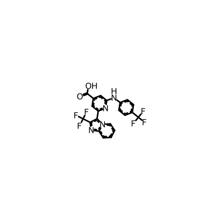 O=C(O)c1cc(Nc2ccc(C(F)(F)F)cc2)nc(-c2c(C(F)(F)F)nc3ccccn23)c1